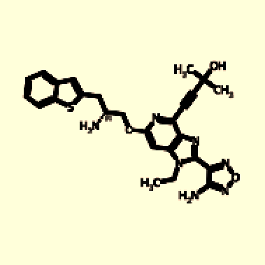 CCn1c(-c2nonc2N)nc2c(C#CC(C)(C)O)nc(OC[C@H](N)Cc3cc4ccccc4s3)cc21